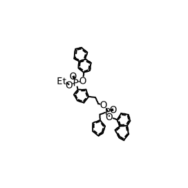 CCOP(=O)(Oc1ccc2ccccc2c1)c1cccc(CCOP(=O)(Cc2ccccc2)Oc2cccc3ccccc23)c1